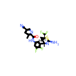 Cc1cc(C#N)cnc1C(=O)Nc1cc(F)c(F)c([C@@]2(C)N=C(N)S[C@@]3(C(F)F)C[C@@H]23)c1